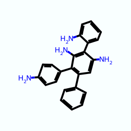 Nc1ccc(-c2c(-c3ccccc3)cc(N)c(-c3ccccc3N)c2N)cc1